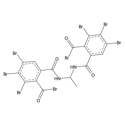 CC(NC(=O)c1cc(Br)c(Br)c(Br)c1C(=O)Br)NC(=O)c1cc(Br)c(Br)c(Br)c1C(=O)Br